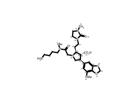 CCCCN(CCCCN)C(=O)CN1C[C@H](c2cc(OC)c3c(c2)OCO3)[C@@H](C(=O)O)[C@@H]1CCN1CCN(C)C1=O